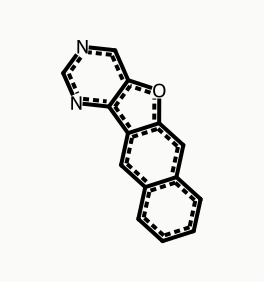 c1ccc2cc3c(cc2c1)oc1cncnc13